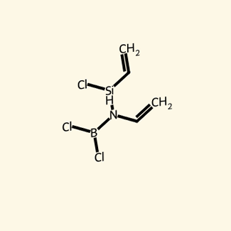 C=CN(B(Cl)Cl)[SiH](Cl)C=C